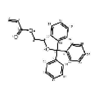 C=CC(=O)OCCOC(c1ccccc1)(c1ccccc1)c1ccccc1